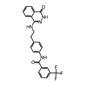 O=C(Nc1ccc(CCNc2n[nH]c(=O)c3ccccc23)cc1)c1cccc(C(F)(F)F)c1